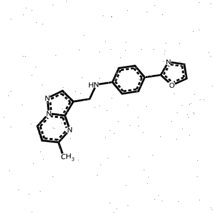 Cc1ccn2ncc(CNc3ccc(-c4ncco4)cc3)c2n1